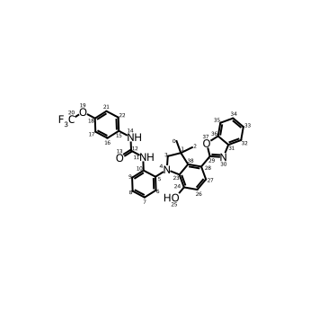 CC1(C)CN(c2ccccc2NC(=O)Nc2ccc(OC(F)(F)F)cc2)c2c(O)ccc(-c3nc4ccccc4o3)c21